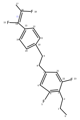 CCCc1c(F)cc(CCc2ccc(/C(F)=C(/C)F)cc2)cc1F